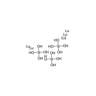 O[Si](O)(O)O.O[Si](O)(O)O.O[Si](O)(O)O.[Gd].[Lu].[Lu].[Lu].[Lu]